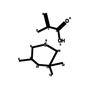 C=C(C)C(=O)O.CC1CSCC(C)(C)C1